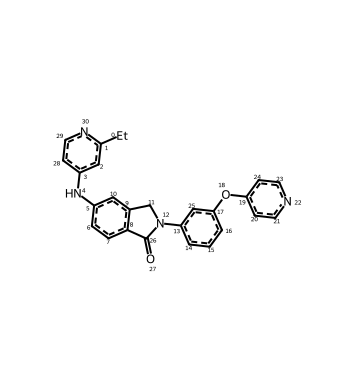 CCc1cc(Nc2ccc3c(c2)CN(c2cccc(Oc4ccncc4)c2)C3=O)ccn1